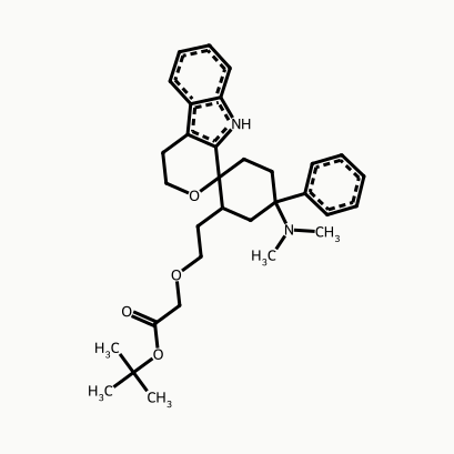 CN(C)C1(c2ccccc2)CCC2(OCCc3c2[nH]c2ccccc32)C(CCOCC(=O)OC(C)(C)C)C1